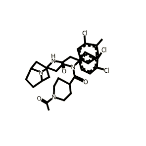 CC(=O)N1CCC(C(=O)N(CCCN2C3CCC2CC(NC(=O)Cc2ccc(Cl)c(Cl)c2)C3)c2ccc(C)c(Cl)c2)CC1